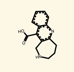 O=C(O)c1c2c(nc3ccccc13)CCCNC2